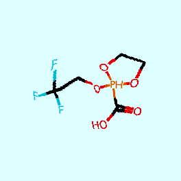 O=C(O)[PH]1(OCC(F)(F)F)OCCO1